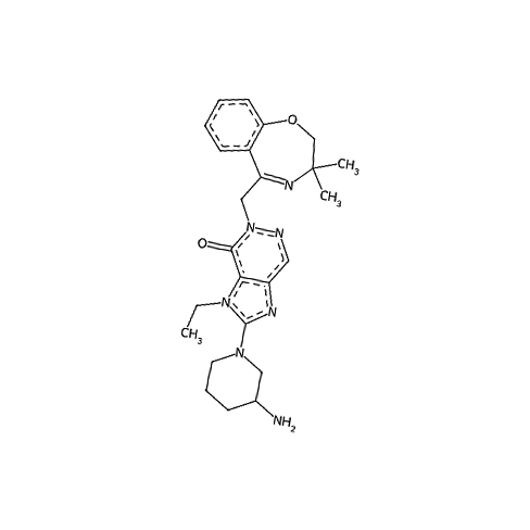 CCn1c(N2CCCC(N)C2)nc2cnn(CC3=NC(C)(C)COc4ccccc43)c(=O)c21